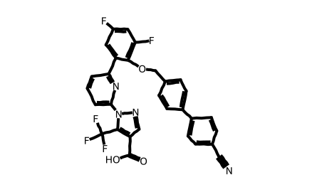 N#Cc1ccc(-c2ccc(COc3c(F)cc(F)cc3-c3cccc(-n4ncc(C(=O)O)c4C(F)(F)F)n3)cc2)cc1